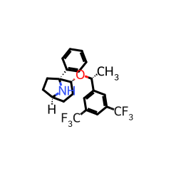 C[C@@H](O[C@@H]1CC[C@H]2CC[C@]1(c1ccccc1)N2)c1cc(C(F)(F)F)cc(C(F)(F)F)c1